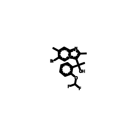 Cc1cc2nc(C)c(C(C)(O)c3ccccc3OC(F)F)n2cc1Br